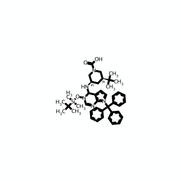 CC(C)(C)[C@H]1C[C@@H](NC2c3ccn(C(c4ccccc4)(c4ccccc4)c4ccccc4)c3N=CN2O[Si](C)(C)C(C)(C)C)CN(C(=O)O)C1